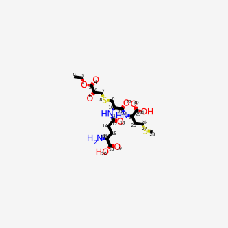 CCOC(=O)C(=O)CSCC(NC(=O)CCC(N)C(=O)O)C(=O)NC(CCSC)C(=O)O